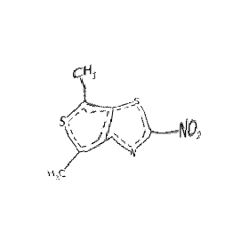 Cc1sc(C)c2sc([N+](=O)[O-])nc12